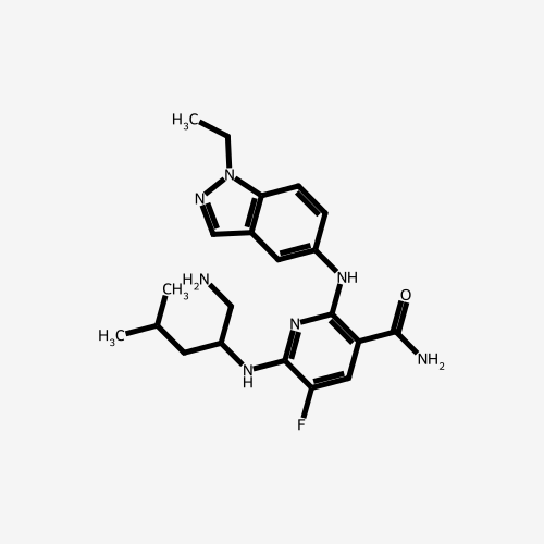 CCn1ncc2cc(Nc3nc(NC(CN)CC(C)C)c(F)cc3C(N)=O)ccc21